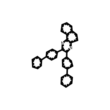 c1ccc(-c2ccc(-c3nc4ccc5ccccc5c4nc3-c3ccc(-c4ccccc4)cc3)cc2)cc1